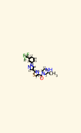 C[C@H]1CN(C(=O)c2csc(-c3cnn(-c4cccc(C(F)(F)F)c4)c3)n2)CCN1